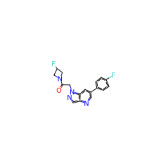 O=C(Cn1ncc2ncc(-c3ccc(F)cc3)cc21)N1CC(F)C1